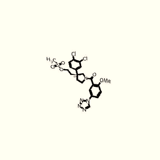 COc1ccc(-n2cnnn2)cc1C(=O)N1CC[C@](CCOS(C)(=O)=O)(c2ccc(Cl)c(Cl)c2)C1